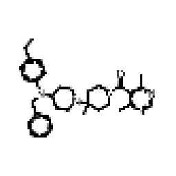 CCc1ccc(N(Cc2ccccc2)C2CCN(C3(C)CCN(C(=O)c4c(C)ncnc4C)CC3)CC2)cc1